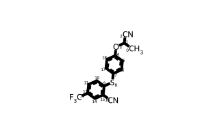 CC(C#N)Oc1ccc(Sc2ccc(C(F)(F)F)cc2C#N)cc1